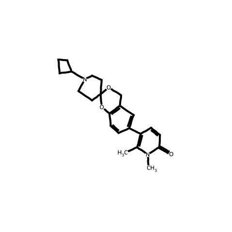 Cc1c(-c2ccc3c(c2)COC2(CCN(C4CCC4)CC2)O3)ccc(=O)n1C